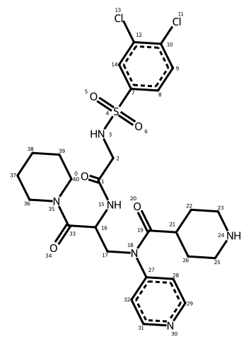 O=C(CNS(=O)(=O)c1ccc(Cl)c(Cl)c1)NC(CN(C(=O)C1CCNCC1)c1ccncc1)C(=O)N1CCCCC1